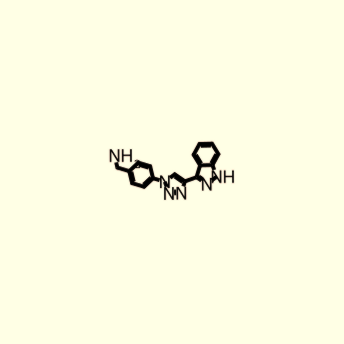 NCc1ccc(-n2cc(-c3n[nH]c4ccccc34)nn2)cc1